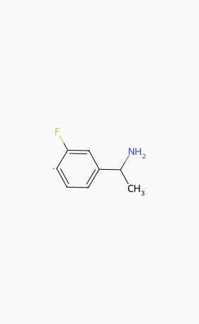 CC(N)c1cc[c]c(F)c1